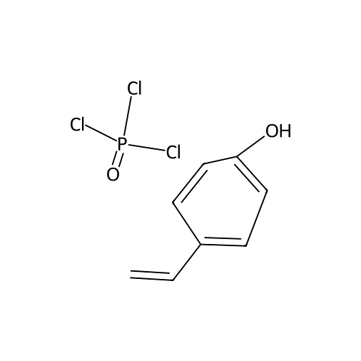 C=Cc1ccc(O)cc1.O=P(Cl)(Cl)Cl